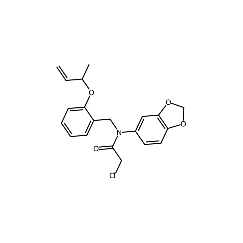 C=CC(C)Oc1ccccc1CN(C(=O)CCl)c1ccc2c(c1)OCO2